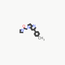 Cc1ccc(-c2cnc3ccn(CC(=O)N4CCC4)c3c2)cc1